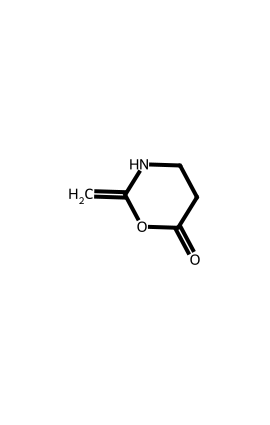 C=C1NCCC(=O)O1